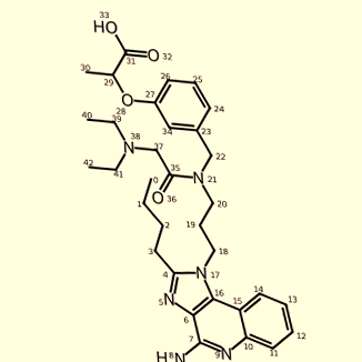 CCCCc1nc2c(N)nc3ccccc3c2n1CCCN(Cc1cccc(OC(C)C(=O)O)c1)C(=O)CN(CC)CC